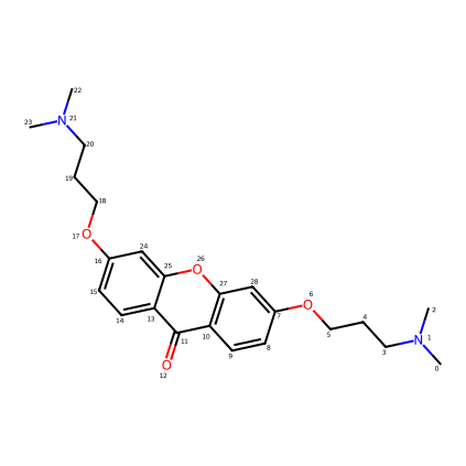 CN(C)CCCOc1ccc2c(=O)c3ccc(OCCCN(C)C)cc3oc2c1